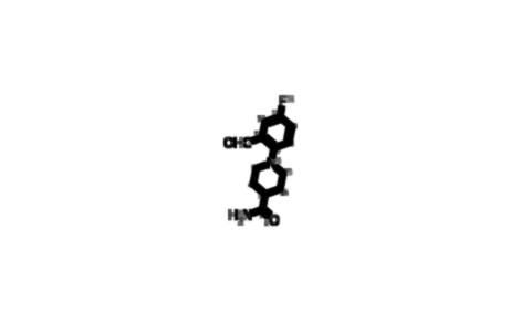 NC(=O)C1CCN(c2ccc(F)cc2C=O)CC1